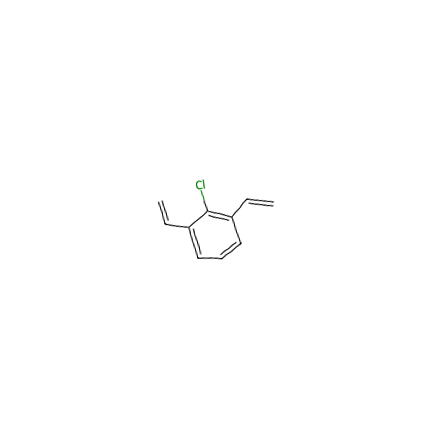 C=Cc1cccc(C=C)c1Cl